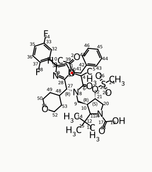 CC(=O)OC(C)C(=O)N(C[C@@H]1C(C(C)(C)C)N(C(=O)O)C[C@H]1OS(C)(=O)=O)[C@@H](c1nc(-c2cc(F)ccc2F)cn1Cc1ccccc1)C1CCOCC1